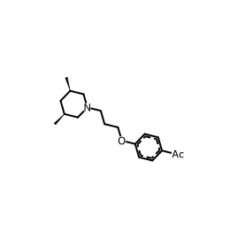 CC(=O)c1ccc(OCCCN2C[C@H](C)C[C@H](C)C2)cc1